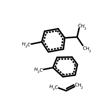 C=CC.Cc1ccc(C(C)C)cc1.Cc1ccccc1